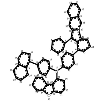 c1ccc(-c2c3c(-c4ccc(N(c5ccc(-c6cccc7ccccc67)cc5)c5cccc6oc7ccccc7c56)cc4)cccc3n3cc4ccccc4cc23)cc1